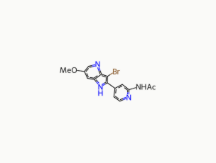 COc1cnc2c(Br)c(-c3ccnc(NC(C)=O)c3)[nH]c2c1